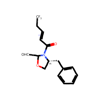 O=CC1OC[C@@H](Cc2ccccc2)N1C(=O)/C=C/CC(F)(F)F